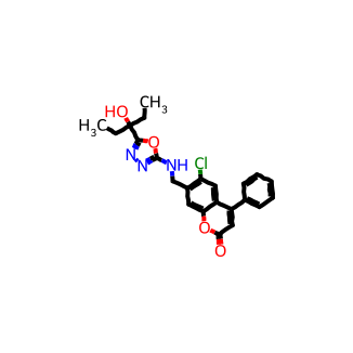 CCC(O)(CC)c1nnc(NCc2cc3oc(=O)cc(-c4ccccc4)c3cc2Cl)o1